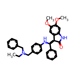 CCN(Cc1ccccc1)Cc1ccc(NC(=C2C(=O)Nc3cc(OC)c(OC)cc32)c2ccccc2)cc1